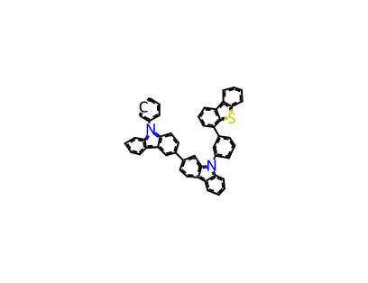 c1ccc(-n2c3ccccc3c3cc(-c4ccc5c6ccccc6n(-c6cccc(-c7cccc8c7sc7ccccc78)c6)c5c4)ccc32)cc1